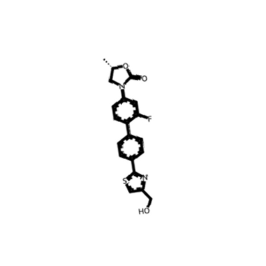 C[C@H]1CN(c2ccc(-c3ccc(-c4nc(CO)cs4)cc3)c(F)c2)C(=O)O1